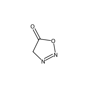 O=C1CN=NO1